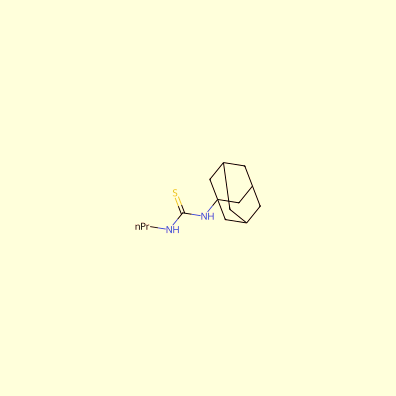 [CH2]CCNC(=S)NC12CC3CC(CC(C3)C1)C2